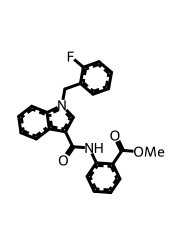 COC(=O)c1ccccc1NC(=O)c1cn(Cc2ccccc2F)c2ccccc12